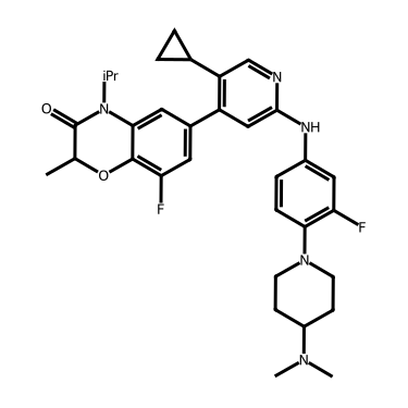 CC1Oc2c(F)cc(-c3cc(Nc4ccc(N5CCC(N(C)C)CC5)c(F)c4)ncc3C3CC3)cc2N(C(C)C)C1=O